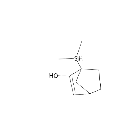 C[SiH](C)C12CCC(C=C1O)C2